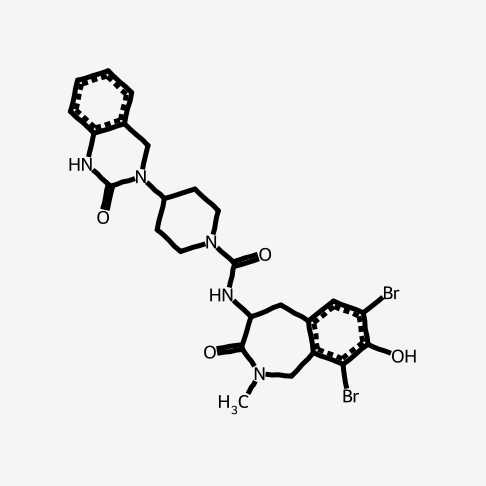 CN1Cc2c(cc(Br)c(O)c2Br)CC(NC(=O)N2CCC(N3Cc4ccccc4NC3=O)CC2)C1=O